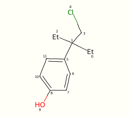 CCC(CC)(CCl)c1ccc(O)cc1